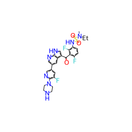 CCN(C)S(=O)(=O)Nc1ccc(F)c(C(=O)c2c[nH]c3ncc(-c4cnc(N5CCNCC5)c(F)c4)cc23)c1F